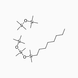 CCCCCCCC[Si](C)(C)O[Si](C)(C)O[Si](C)(C)C.C[Si](C)(C)O[Si](C)(C)C